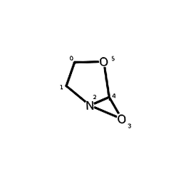 C1CN2O[C]2O1